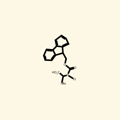 CCCCC(C(=O)O)N(CC)C(=O)OCC1c2ccccc2-c2ccccc21